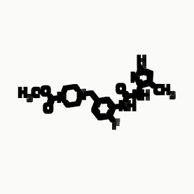 COC(=O)N1CCN(Cc2ccc(F)c(NC(=O)Nc3n[nH]cc3C)c2)CC1